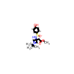 COC(=O)CC1(N[S+]([O-])c2ccc(O)cc2)CN(C(C)(C)C)C1